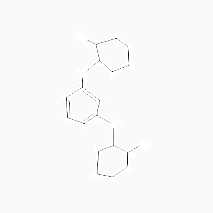 OC1CCCCC1Oc1cccc(OC2CCCCC2O)c1